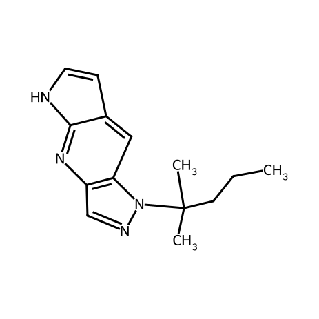 CCCC(C)(C)n1ncc2nc3[nH]ccc3cc21